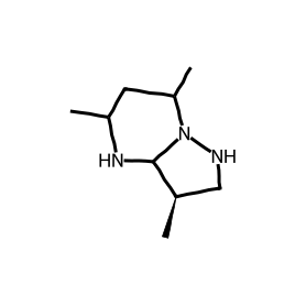 CC1CC(C)N2NC[C@@H](C)C2N1